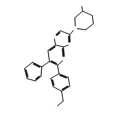 NCc1ccc(-c2nc3nc(N4CCCC(O)C4)cnc3cc2-c2ccccc2)cc1